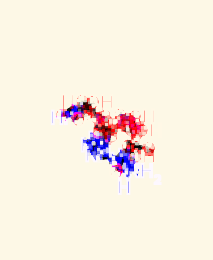 C=CC[n+]1cn([C@@H]2O[C@H](COP(=O)(O)OP(=O)(O)OP(=O)(O)OC[C@H]3O[C@@H](n4cnc5c(N)ncnc54)[C@H](OC)[C@@H]3OP(=O)(O)OC[C@H]3O[C@@H](n4ccc(=O)[nH]c4=O)[C@H](O)[C@@H]3O)[C@@H](CCOC)[C@H]2O)c2nc(N)[nH]c(=O)c21